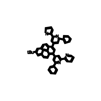 CC(C)(C)c1cc2ccc3c(-c4cc(-c5ccccc5)nc(-c5ccccn5)c4)cc(-c4cc(-c5ccccc5)nc(-c5ccccn5)c4)c4ccc(c1)c2c34